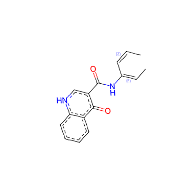 C/C=C\C(=C/C)NC(=O)c1c[nH]c2ccccc2c1=O